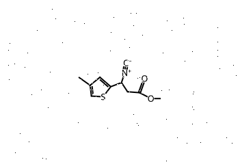 [C-]#[N+]C(CC(=O)OC)c1cc(C)cs1